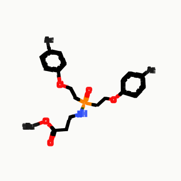 CC(=O)c1ccc(OCCP(=O)(CCOc2ccc(C(C)=O)cc2)NCCC(=O)OC(C)(C)C)cc1